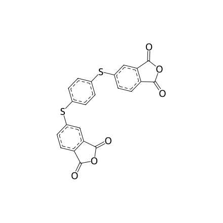 O=C1OC(=O)c2cc(Sc3ccc(Sc4ccc5c(c4)C(=O)OC5=O)cc3)ccc21